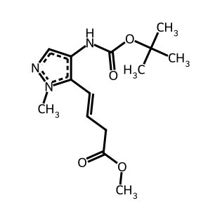 COC(=O)C/C=C/c1c(NC(=O)OC(C)(C)C)cnn1C